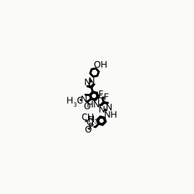 CCO[PH](=O)Cc1ccc(Nc2ncc(C(F)(F)F)c(Nc3ccc(-c4cnn(C5CCC(O)CC5)c4)c4c3C(=O)N(C)C4)n2)cc1